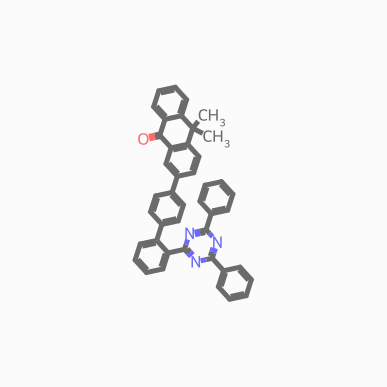 CC1(C)c2ccccc2C(=O)c2cc(-c3ccc(-c4ccccc4-c4nc(-c5ccccc5)nc(-c5ccccc5)n4)cc3)ccc21